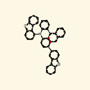 c1ccc(N(c2ccc(-c3ccc4oc5ccccc5c4c3)cc2)c2cccc3oc4ccccc4c23)c(-c2cccc3ccccc23)c1